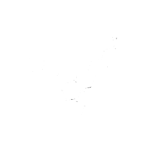 C=C(C)[C@@H](O)[C@H](Cc1ccc(O[Si](C)(C)C(C)(C)C)cc1)NC(=O)OCc1ccccc1